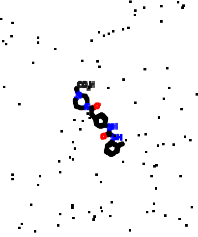 Cc1ccccc1NC(=O)Nc1ccc(CC(=O)N2CCCN(CC(=O)O)CC2)cc1